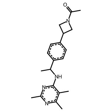 CC(=O)N1CC(c2ccc(C(C)Nc3nc(C)nc(C)c3C)cc2)C1